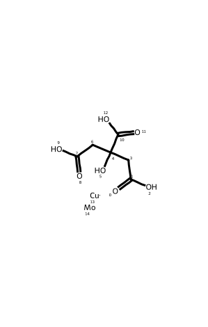 O=C(O)CC(O)(CC(=O)O)C(=O)O.[Cu].[Mo]